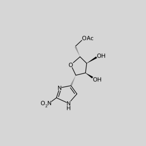 CC(=O)OC[C@H]1O[C@@H](c2c[nH]c([N+](=O)[O-])n2)[C@H](O)[C@@H]1O